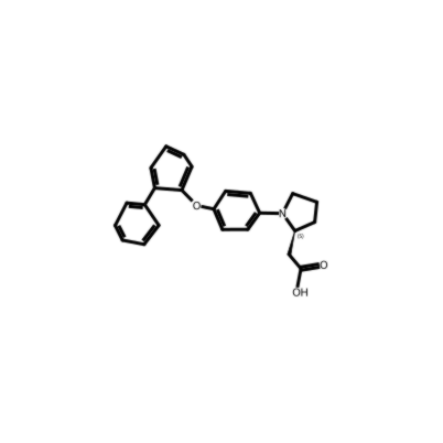 O=C(O)C[C@@H]1CCCN1c1ccc(Oc2ccccc2-c2ccccc2)cc1